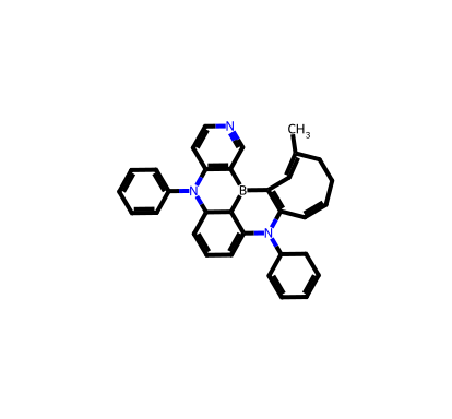 C/C1=C\C2=C(/C=C\CC1)N(C1C=CC=CC1)C1=CC=CC3C1B2c1cnccc1N3c1ccccc1